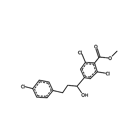 COC(=O)c1c(Cl)cc(C(O)CCc2ccc(Cl)cc2)cc1Cl